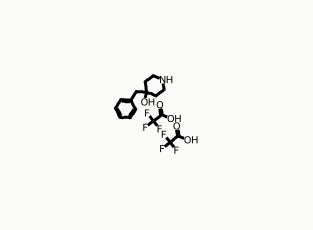 O=C(O)C(F)(F)F.O=C(O)C(F)(F)F.OC1(Cc2ccccc2)CCNCC1